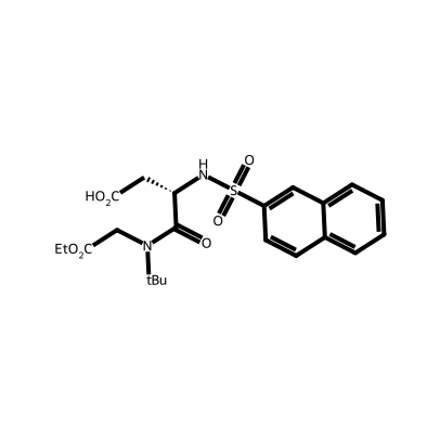 CCOC(=O)CN(C(=O)[C@H](CC(=O)O)NS(=O)(=O)c1ccc2ccccc2c1)C(C)(C)C